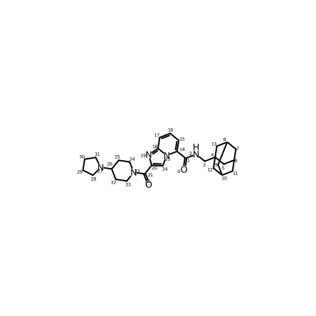 O=C(NCC12CC3CC(CC(C3)C1)C2)c1cccc2nc(C(=O)N3CCC(N4CCCC4)CC3)cn12